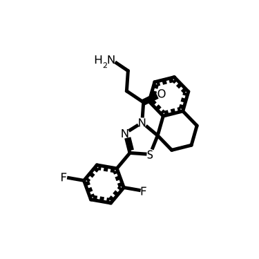 NCCC(=O)N1N=C(c2cc(F)ccc2F)SC12CCCc1ccccc12